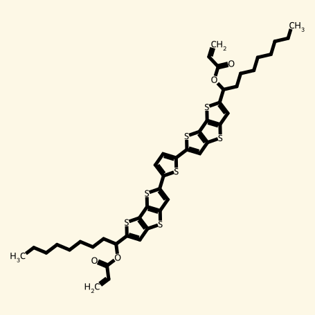 C=CC(=O)OC(CCCCCCCC)c1cc2sc3cc(-c4ccc(-c5cc6sc7cc(C(CCCCCCCC)OC(=O)C=C)sc7c6s5)s4)sc3c2s1